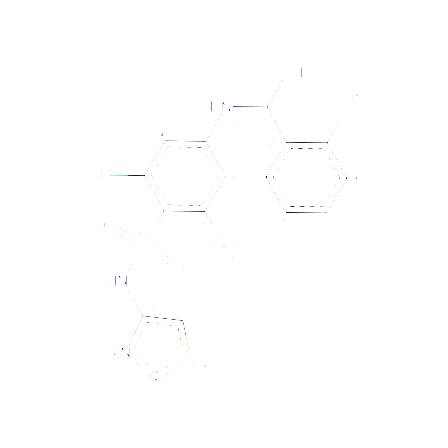 CC(Nc1cc(F)c(S(=O)(=O)Nc2cscn2)c(F)c1)c1ccccc1F